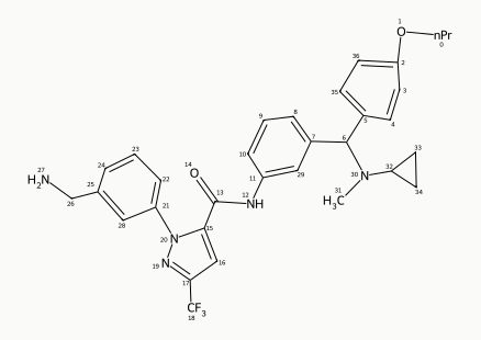 CCCOc1ccc(C(c2cccc(NC(=O)c3cc(C(F)(F)F)nn3-c3cccc(CN)c3)c2)N(C)C2CC2)cc1